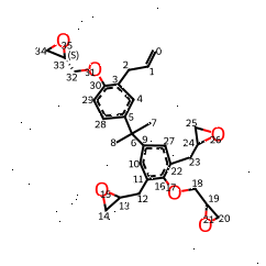 C=CCc1cc(C(C)(C)c2cc(CC3CO3)c(OCC3CO3)c(CC3CO3)c2)ccc1OC[C@@H]1CO1